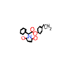 C=Cc1ccc(OC(=O)C(c2ccccc2)N2C(=O)C=CC2=O)cc1